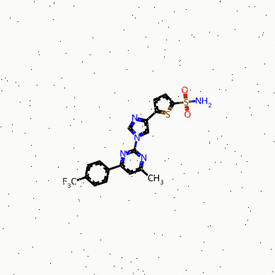 Cc1cc(-c2ccc(C(F)(F)F)cc2)nc(-n2cnc(-c3ccc(S(N)(=O)=O)s3)c2)n1